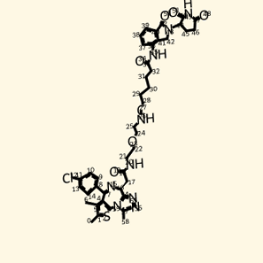 Cc1sc2c(c1C)C(c1ccc(Cl)cc1)=N[C@@H](CC(=O)NCCOCCNCCCCCCC(=O)Nc1cccc3c1CN(C1CCC(=O)NC1=O)C3=O)c1nnc(C)n1-2